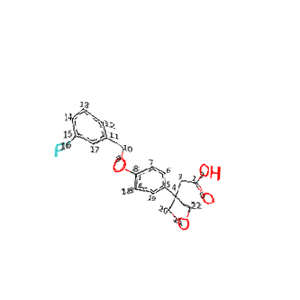 O=C(O)CC1(c2ccc(OCc3cccc(F)c3)cc2)COC1